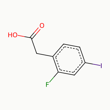 O=C(O)Cc1ccc(I)cc1F